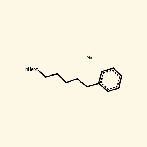 CCCCCCCCCCCCc1ccccc1.[Na]